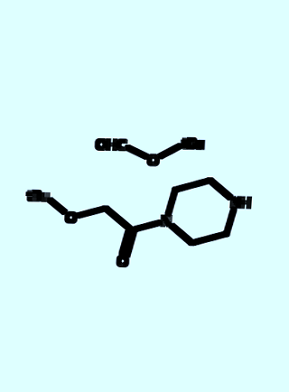 CC(C)(C)OC=O.CC(C)(C)OCC(=O)N1CCNCC1